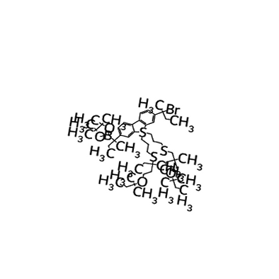 CCC(C)(COC(C)(C)CC)CSCCCS1(CCCSC(C)(CC)CCOC(C)(C)CC)c2cc(C(C)(Br)CC)ccc2-c2ccc(C(C)(CC)B3OC(C)(C)C(C)(C)O3)cc21